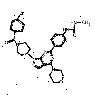 CNC(=O)Nc1ccc(-c2nc(N3CCOCC3)c3cnn(C4CCN(C(=O)c5ccc(Br)cc5)CC4)c3n2)cc1